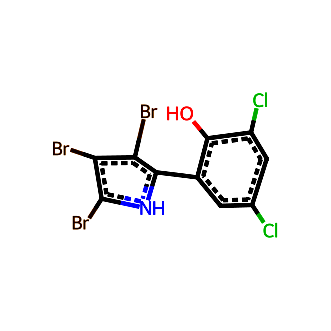 Oc1c(Cl)cc(Cl)cc1-c1[nH]c(Br)c(Br)c1Br